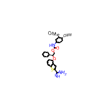 COc1ccc(NC(=O)OCC(Oc2cccc3sc(C(=N)N)cc23)c2ccccc2)cc1OC